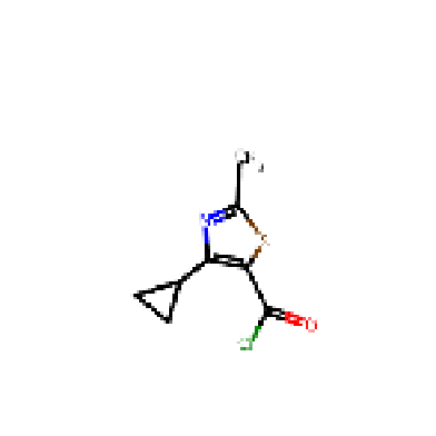 Cc1nc(C2CC2)c(C(=O)Cl)s1